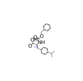 CC(C)c1ccc(/C=C(\NC(=O)OCc2ccccc2)C(=O)O)cc1